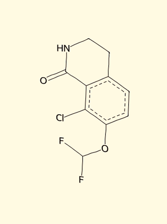 O=C1NCCc2ccc(OC(F)F)c(Cl)c21